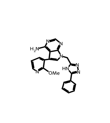 COc1ncccc1-c1cn(Cc2nnc(-c3ccccc3)[nH]2)c2ncnc(N)c12